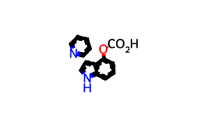 O=C(O)Oc1cccc2[nH]ccc12.c1ccncc1